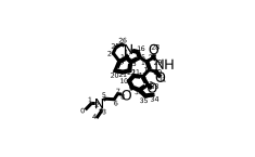 CCN(CC)CCCOc1ccc(C2=C(c3cn4c5c(cccc35)CCC4)C(=O)NC2=O)c2occc12